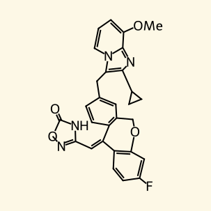 COc1cccn2c(Cc3ccc4c(c3)COc3cc(F)ccc3/C4=C/c3noc(=O)[nH]3)c(C3CC3)nc12